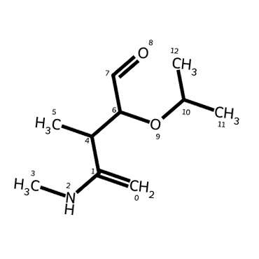 C=C(NC)C(C)C(C=O)OC(C)C